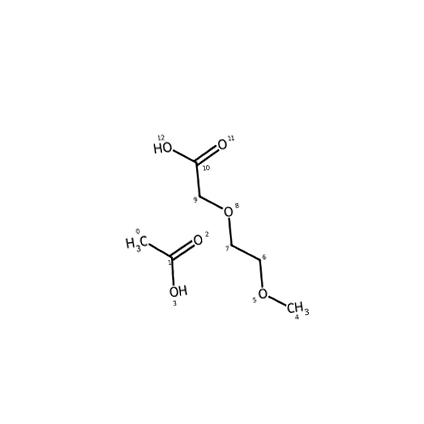 CC(=O)O.COCCOCC(=O)O